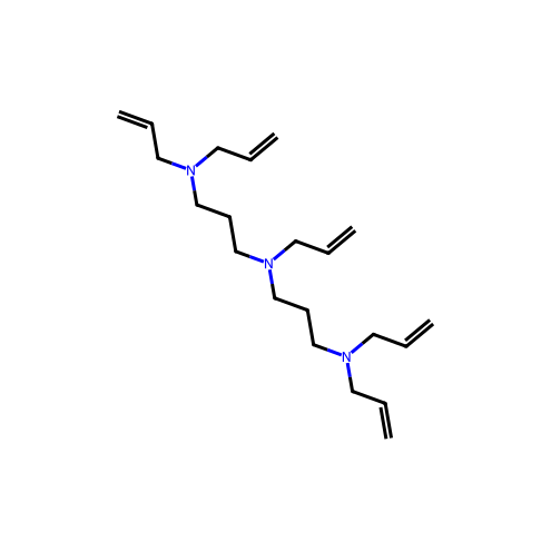 C=CCN(CC=C)CCCN(CC=C)CCCN(CC=C)CC=C